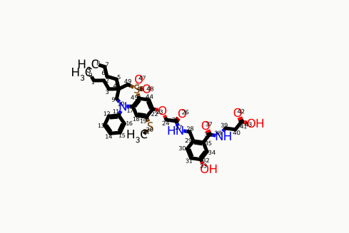 CCCCC1(CCCC)CN(c2ccccc2)c2cc(SC)c(OCC(=O)NCc3ccc(O)cc3C(=O)NCCC(=O)O)cc2S(=O)(=O)C1